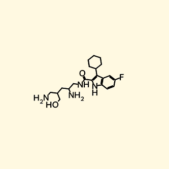 NCC(CO)CC(N)CNC(=O)c1[nH]c2ccc(F)cc2c1C1CCCCC1